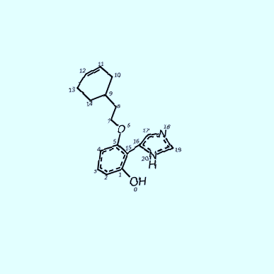 Oc1cccc(OCCC2CC=CCC2)c1-c1cnc[nH]1